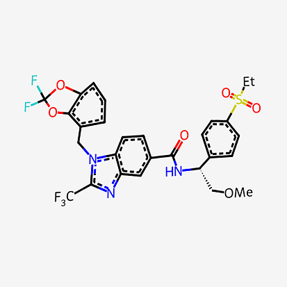 CCS(=O)(=O)c1ccc([C@H](COC)NC(=O)c2ccc3c(c2)nc(C(F)(F)F)n3Cc2cccc3c2OC(F)(F)O3)cc1